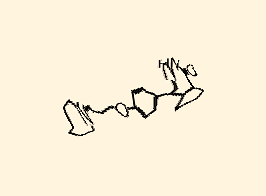 O=c1[nH]nc(-c2ccc(OCCCN3CCCCC3)cc2)c2c1CCC2